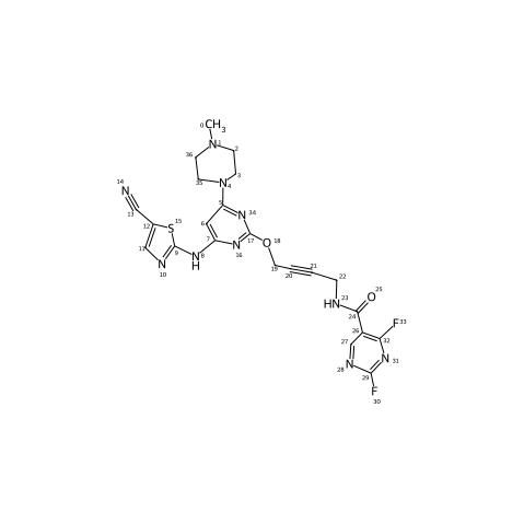 CN1CCN(c2cc(Nc3ncc(C#N)s3)nc(OCC#CCNC(=O)c3cnc(F)nc3F)n2)CC1